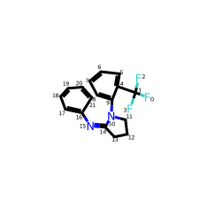 FC(F)(F)c1ccccc1N1CCC/C1=N/c1ccccc1